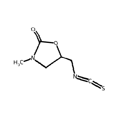 CN1CC(CN=C=S)OC1=O